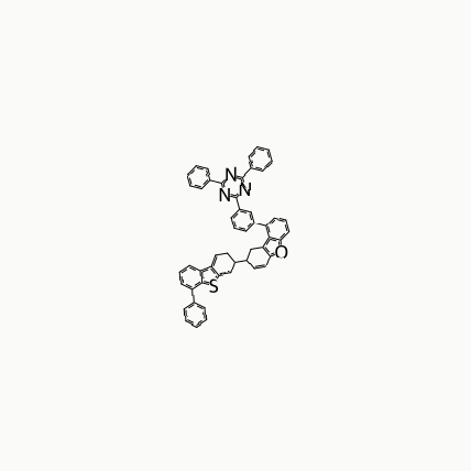 C1=CC(C2C=c3sc4c(-c5ccccc5)cccc4c3=CC2)Cc2c1oc1cccc(-c3cccc(-c4nc(-c5ccccc5)nc(-c5ccccc5)n4)c3)c21